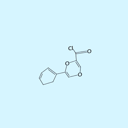 O=C(Cl)C1=COC=C(C2=CC=CCC2)O1